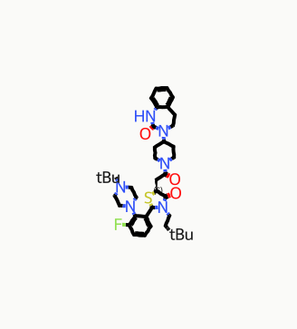 CC(C)(C)CCN1C(=O)[C@H](CC(=O)N2CCC(N3CCc4ccccc4NC3=O)CC2)SC1c1cccc(F)c1N1CCN(C(C)(C)C)CC1